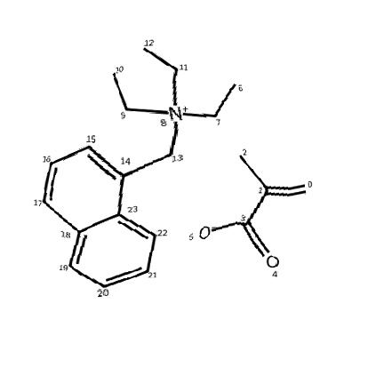 C=C(C)C(=O)[O-].CC[N+](CC)(CC)Cc1cccc2ccccc12